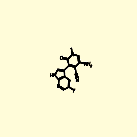 Cn1cc(N)c(C#N)c(-c2c[nH]c3ncc(F)cc23)c1=O